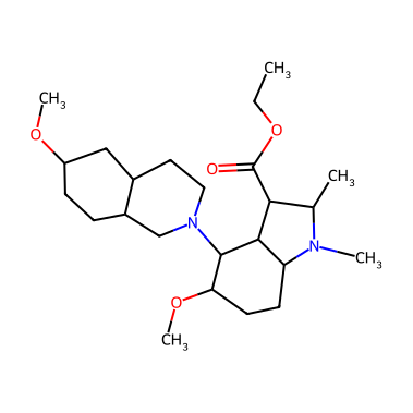 CCOC(=O)C1C2C(N3CCC4CC(OC)CCC4C3)C(OC)CCC2N(C)C1C